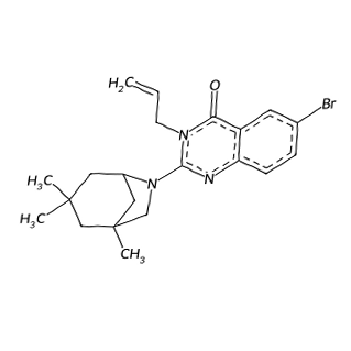 C=CCn1c(N2CC3(C)CC2CC(C)(C)C3)nc2ccc(Br)cc2c1=O